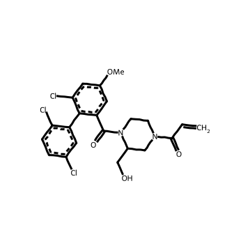 C=CC(=O)N1CCN(C(=O)c2cc(OC)cc(Cl)c2-c2cc(Cl)ccc2Cl)C(CO)C1